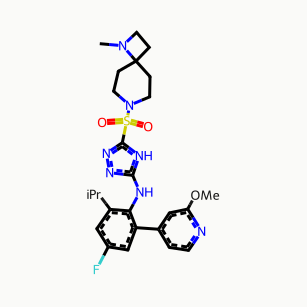 COc1cc(-c2cc(F)cc(C(C)C)c2Nc2nnc(S(=O)(=O)N3CCC4(CCN4C)CC3)[nH]2)ccn1